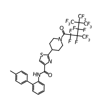 Cc1ccc(-c2ccccc2NC(=O)c2csc(C3CCN(C(=O)C(F)(F)C(F)(C(F)(F)F)C(F)(F)C(C(F)(F)F)(C(F)(F)F)C(F)(F)F)CC3)n2)cc1